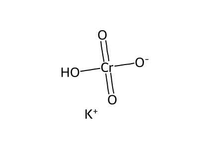 [K+].[O]=[Cr](=[O])([O-])[OH]